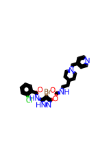 O=C(NCCC1CCN(Cc2ccncc2)CC1)Oc1n[nH]c(NC(=O)c2ccccc2Cl)c1Br